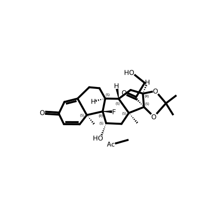 CC(C)=O.CC1(C)O[C@@H]2C[C@H]3[C@@H]4CCC5=CC(=O)C=C[C@]5(C)[C@@]4(F)[C@@H](O)C[C@]3(C)[C@]2(C(=O)CO)O1